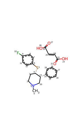 CN1CC[C@H](Sc2ccc(F)cc2)[C@H](c2ccccc2)C1.O=C(O)C=CC(=O)O